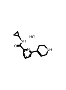 Cl.O=C(NC1CC1)c1cccc(C2=CCNCC2)n1